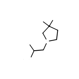 CCOC(=O)C(Br)CN1CCC(F)(F)C1